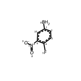 Bc1ccc(F)c([N+](=O)[O-])c1